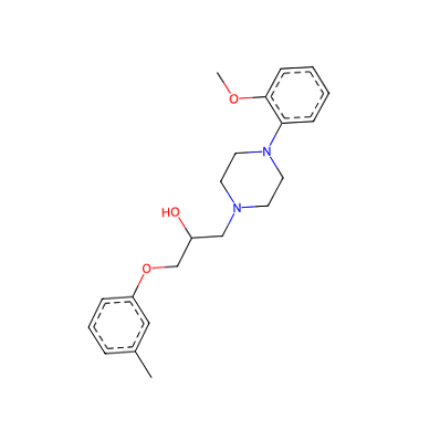 COc1ccccc1N1CCN(CC(O)COc2cccc(C)c2)CC1